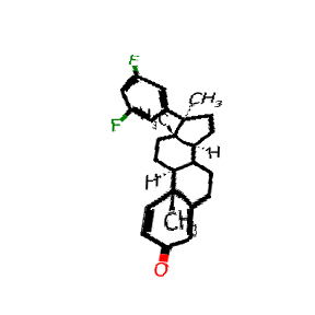 C[C@]12C=CC(=O)C=C1CCC1[C@@H]2CC[C@@]2(C)[C@H]1CC[C@]2(C)c1cc(F)cc(F)c1